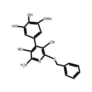 COc1cc(-c2c(C#N)c(N)nc(SCc3ccccc3)c2C#N)cc(O)c1O